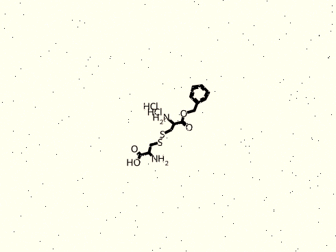 Cl.Cl.NC(CSSCC(N)C(=O)OCc1ccccc1)C(=O)O